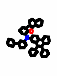 c1ccc(-c2cccc(N(c3ccc4c(c3)c(-c3ccccc3)c(-c3ccccc3)c3ccccc34)c3cccc4c3oc3c5ccccc5ccc43)c2)cc1